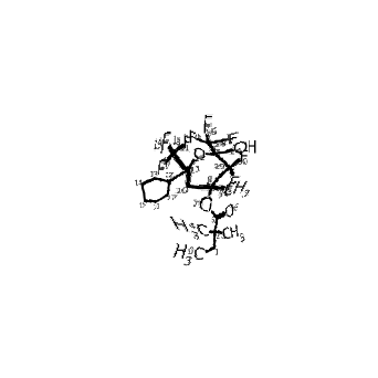 CCC(C)(C)C(=O)OC1(C)CC(C2CCCCC2)(C(F)(F)F)OC(O)(C(F)(F)F)C1(F)F